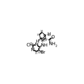 NC(=O)[C@@H]1[C@H](Nc2nc(Cl)ncc2Br)[C@H]2C=C[C@@H]1C2